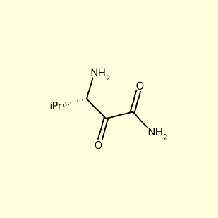 CC(C)[C@H](N)C(=O)C(N)=O